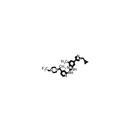 Cc1cc(-c2cnn(CC3CC3)c2)cc2[nH]c(Nc3cc(C(C)N4CCN(CC(F)(F)F)CC4)ccn3)nc12